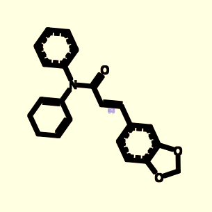 O=C(/C=C/c1ccc2c(c1)OCO2)N(C1=CCCC=C1)c1ccccc1